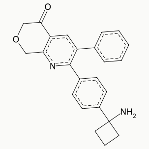 NC1(c2ccc(-c3nc4c(cc3-c3ccccc3)C(=O)COC4)cc2)CCC1